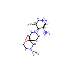 CN1CCOC2(CCN(C3C(N)=CNCC3F)CC2)C1